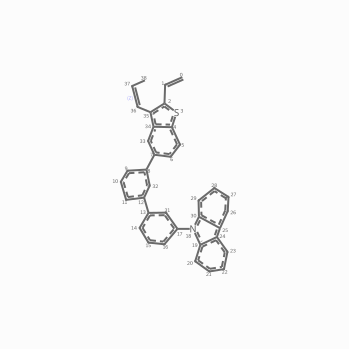 C=Cc1sc2ccc(-c3cccc(-c4cccc(-n5c6ccccc6c6ccccc65)c4)c3)cc2c1/C=C\C